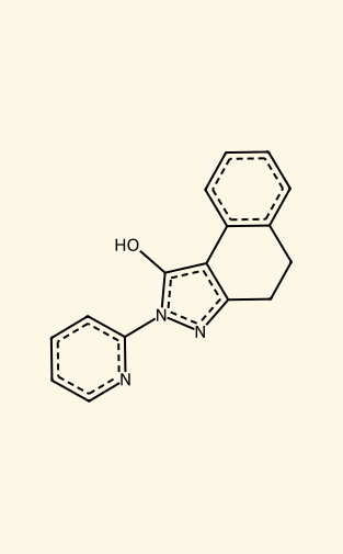 Oc1c2c(nn1-c1ccccn1)CCc1ccccc1-2